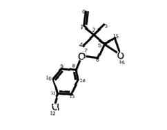 C=CC(C)(C)C1(COc2ccc(Cl)cc2)CO1